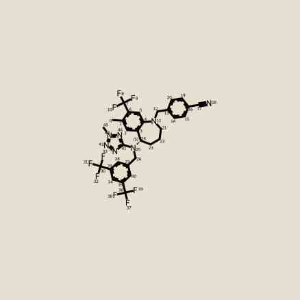 Cc1cc2c(cc1C(F)(F)F)N(Cc1ccc(C#N)cc1)CCC[C@@H]2N(Cc1cc(C(F)(F)F)cc(C(F)(F)F)c1)c1nnn(C)n1